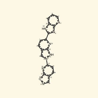 c1cnc2nc(-c3ccc4c[n+](-c5ccc6cnoc6n5)[nH]c4n3)[nH]c2c1